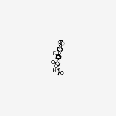 CC(=O)NC[C@H]1CN(c2ccc(N3CCN(C4=NCCO4)CC3)c(F)c2)C(=O)O1